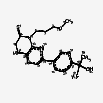 COCCCN1C(=O)CNc2ncc(-c3ccc(C(C)(C)O)nc3)nc21